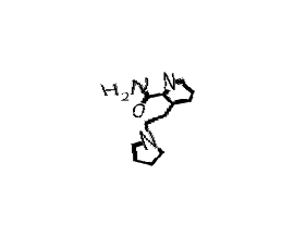 NC(=O)c1ncccc1CCN1CCCC1